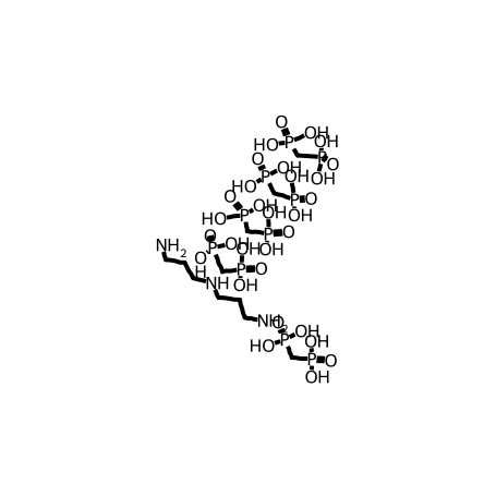 NCCCNCCCN.O=P(O)(O)CP(=O)(O)O.O=P(O)(O)CP(=O)(O)O.O=P(O)(O)CP(=O)(O)O.O=P(O)(O)CP(=O)(O)O.O=P(O)(O)CP(=O)(O)O